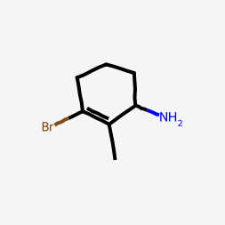 CC1=C(Br)CCCC1N